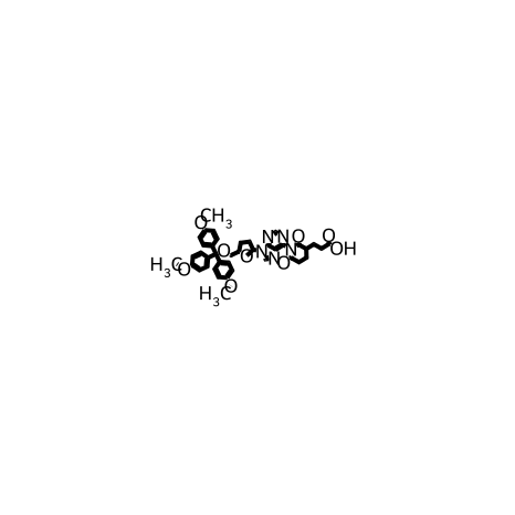 COc1ccc(C(OCC2CCC(n3cnc4c(N5C(=O)CCC(CCC(=O)O)C5=O)ncnc43)O2)(c2ccc(OC)cc2)c2ccc(OC)cc2)cc1